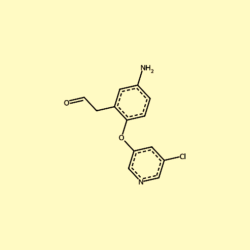 Nc1ccc(Oc2cncc(Cl)c2)c(CC=O)c1